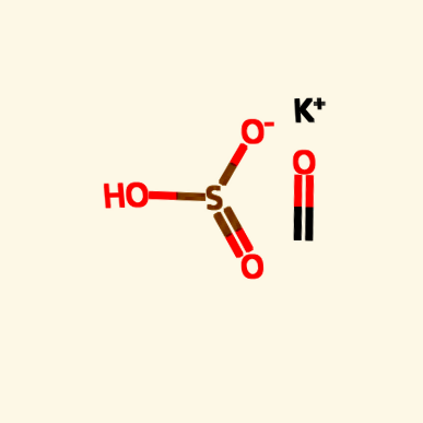 C=O.O=S([O-])O.[K+]